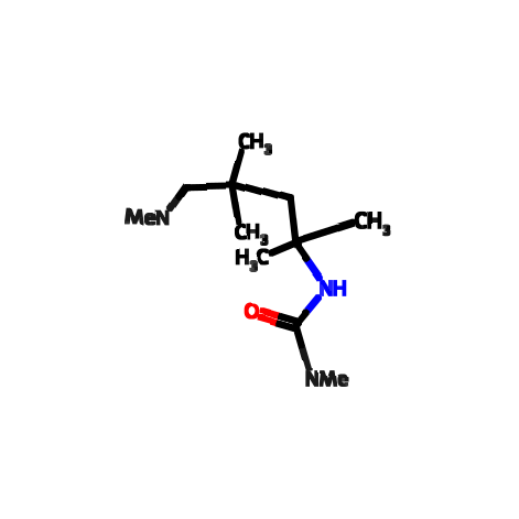 CNCC(C)(C)CC(C)(C)NC(=O)NC